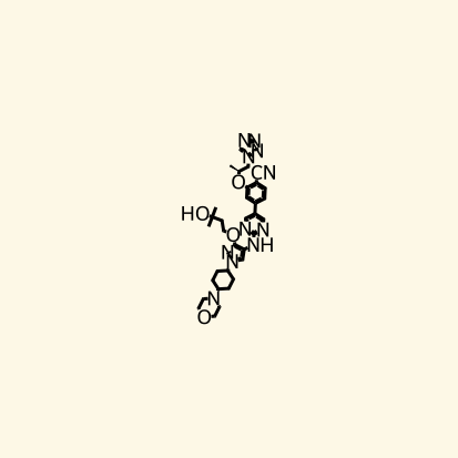 C[C@@H](Cn1cnnn1)Oc1cc(-c2cnc(Nc3cn(C4CCC(N5CCOCC5)CC4)nc3OCCC(C)(C)O)nc2)ccc1C#N